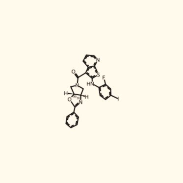 O=C(c1c(Nc2ccc(I)cc2F)sc2ncccc12)N1C[C@@H]2N=C(c3ccccc3)O[C@@H]2C1